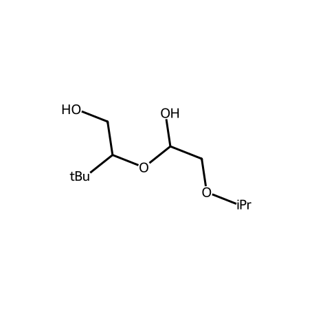 CC(C)OCC(O)OC(CO)C(C)(C)C